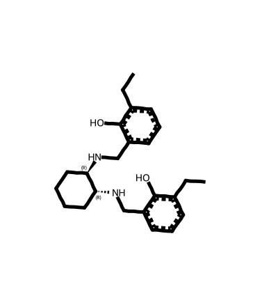 CCc1cccc(CN[C@@H]2CCCC[C@H]2NCc2cccc(CC)c2O)c1O